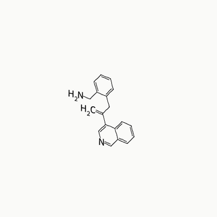 C=C(Cc1ccccc1CN)c1cncc2ccccc12